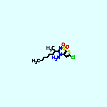 CCCCCCC(C)C1=NS(=O)(=O)c2sc(Cl)cc2N1N